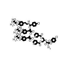 CC(C)(Oc1ccc(C2CC2(Cl)Cl)cc1)C(=O)O.CC(C)(Oc1ccc(C2CC2(Cl)Cl)cc1)C(=O)O.CC(C)(Oc1ccc(CCNC(=O)c2ccc(Cl)cc2)cc1)C(=O)O.CC(C)(Oc1ccc(Cl)cc1)C(=O)OC(COC(=O)c1cccnc1)COC(=O)c1cccnc1